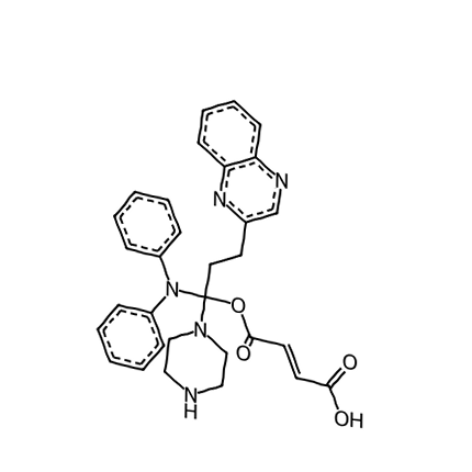 O=C(O)C=CC(=O)OC(CCc1cnc2ccccc2n1)(N1CCNCC1)N(c1ccccc1)c1ccccc1